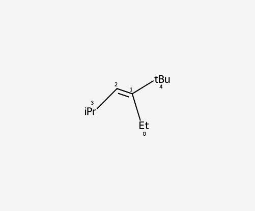 CC/C(=C\C(C)C)C(C)(C)C